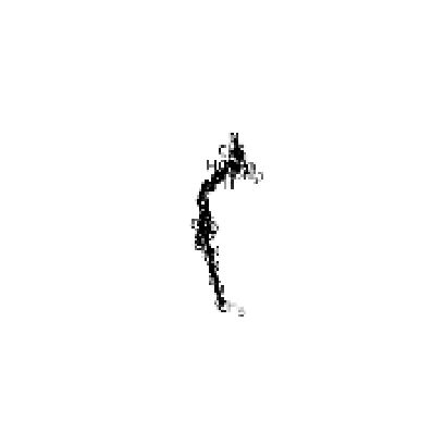 COCCOCCOCCOCCOC(=O)OCN1C(=O)CCC(N2C(=O)c3ccc(N4CCN(CC5CCN(c6ccc(C(=O)N[C@H]7C(C)(C)[C@H](Oc8ccc(C#N)c(Cl)c8)C7(C)C)cc6)CC5)CC4)cc3C2=O)C1=O